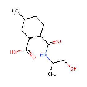 CC1CCC(C(=O)N[C@@H](C)CO)C(C(=O)O)C1